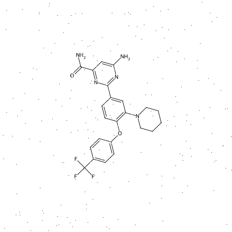 NC(=O)c1cc(N)nc(-c2ccc(Oc3ccc(C(F)(F)F)cc3)c(N3CCCCC3)c2)n1